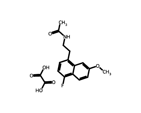 COc1ccc2c(F)ccc(CCNC(C)=O)c2c1.O=C(O)C(=O)O